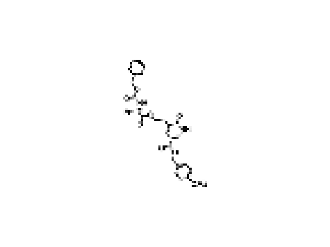 COc1ccc(COC(=O)c2c[nH]c(=O)c(CCOC(=O)[C@@H](NC(=O)OCc3ccccc3)C(C)C)c2)cc1